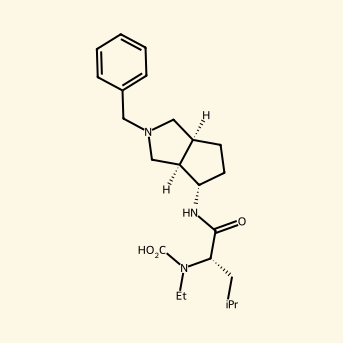 CCN(C(=O)O)[C@@H](CC(C)C)C(=O)N[C@H]1CC[C@@H]2CN(Cc3ccccc3)C[C@@H]21